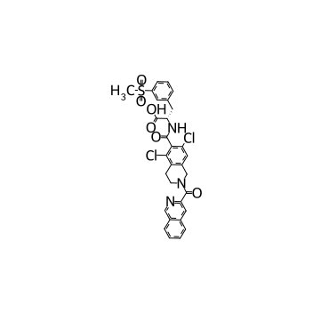 CS(=O)(=O)c1cccc(C[C@H](NC(=O)c2c(Cl)cc3c(c2Cl)CCN(C(=O)c2cc4ccccc4cn2)C3)C(=O)O)c1